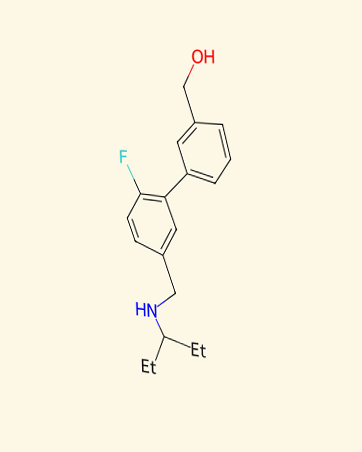 CCC(CC)NCc1ccc(F)c(-c2cccc(CO)c2)c1